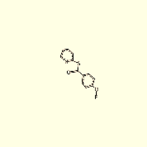 O=C(Sc1ccccn1)c1ccc(OF)cc1